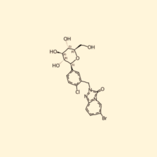 O=c1n(Cc2cc([C@@H]3O[C@H](CO)[C@@H](O)[C@H](O)[C@H]3O)ccc2Cl)nc2ccc(Br)cn12